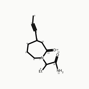 CC#CC1CCCN(C(CC)C(N)=O)C(=O)C1